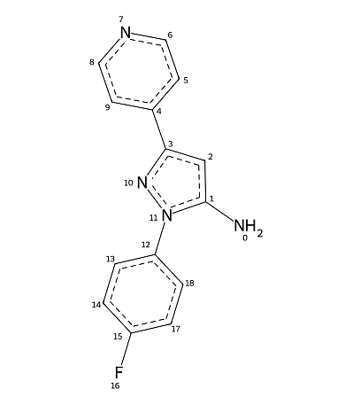 Nc1cc(-c2ccncc2)nn1-c1ccc(F)cc1